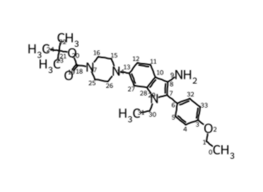 CCOc1ccc(-c2c(N)c3ccc(N4CCN(C(=O)OC(C)(C)C)CC4)cc3n2CC)cc1